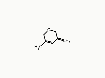 C=C1C=C(C)COC1